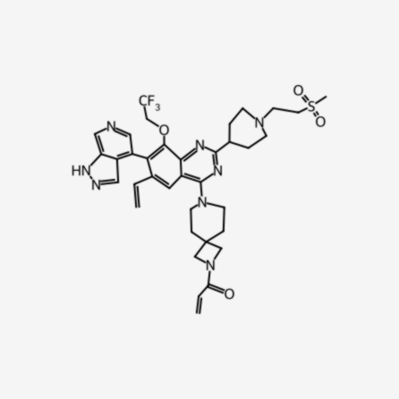 C=CC(=O)N1CC2(CCN(c3nc(C4CCN(CCS(C)(=O)=O)CC4)nc4c(OCC(F)(F)F)c(-c5cncc6[nH]ncc56)c(C=C)cc34)CC2)C1